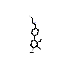 CCOc1ccc(-c2ccc(/C=C/CF)cc2)c(F)c1F